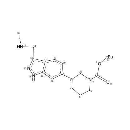 CC(C)(C)OC(=O)N1CCCC(c2ccc3c(CNI)n[nH]c3c2)C1